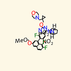 COCOc1cc(-c2c([N+](=O)[O-])cc3c(N4C[C@H]5CC[C@@H](C4)N5C(=O)O)nc(OCC4(CN5CCOCC5)CC4)nc3c2F)c2c(F)c(F)ccc2c1